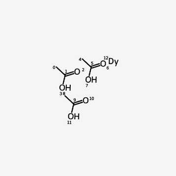 CC(=O)O.CC(=O)O.CC(=O)O.[Dy]